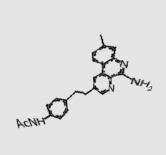 CC(=O)Nc1ccc(CCc2cnc3c(N)nc4cc(C)ccc4c3c2)cc1